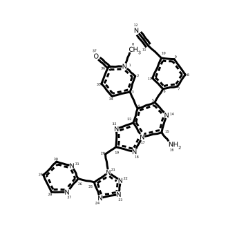 Cn1cc(-c2c(-c3cccc(C#N)c3)nc(N)n3nc(Cn4nnnc4-c4ncccn4)nc23)ccc1=O